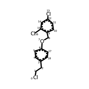 ClCCc1ccc(OCc2ccc(Cl)cc2Cl)cc1